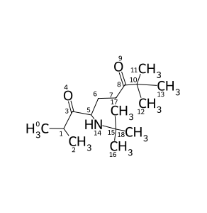 CC(C)C(=O)C(CCC(=O)C(C)(C)C)NC(C)(C)C